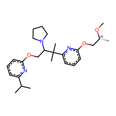 CO[C@H](C)COc1cccc(C(C)(C)C(COc2cccc(C(C)C)n2)N2CCCC2)n1